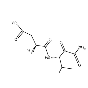 CC(C)[C@H](NC(=O)[C@@H](N)CC(=O)O)C(=O)C(N)=O